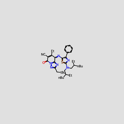 CCCCC(CC)CN(CC(CC)CCCC)c1nc(-c2ccccc2)c(/N=C2/C(CC)=C(C#N)C(=O)n3nc(CC(C)(C)C)nc32)s1